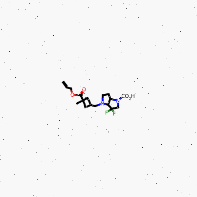 C=CCOC(=O)C1(C)CC(CN2CCC3C2C(F)(F)CN3C(=O)O)C1